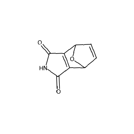 O=C1NC(=O)C2=C1C1C=CC2O1